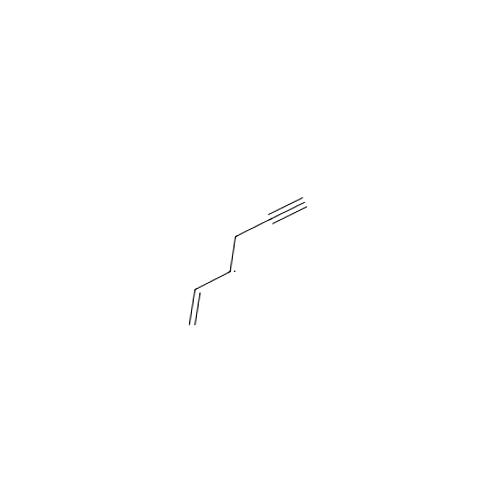 C#CC[CH]C=C